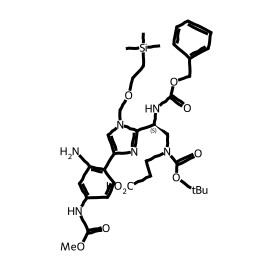 COC(=O)Nc1ccc(-c2cn(COCC[Si](C)(C)C)c([C@H](CN(CCC(=O)O)C(=O)OC(C)(C)C)NC(=O)OCc3ccccc3)n2)c(N)c1